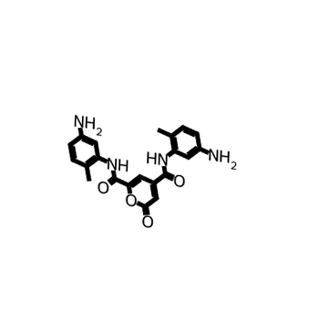 Cc1ccc(N)cc1NC(=O)c1cc(C(=O)Nc2cc(N)ccc2C)oc(=O)c1